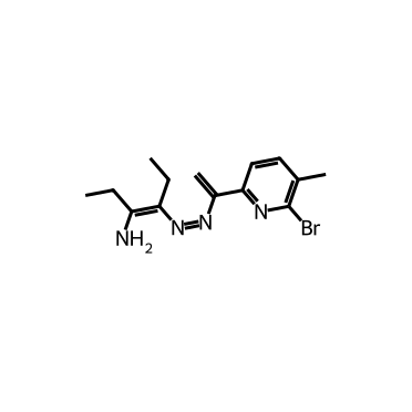 C=C(/N=N\C(CC)=C(/N)CC)c1ccc(C)c(Br)n1